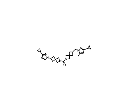 Cc1cc(C2CC2)nn1CC1CC2(C1)CN(C(=O)N1CC3(CC(n4cnc(C5CC5)n4)C3)C1)C2